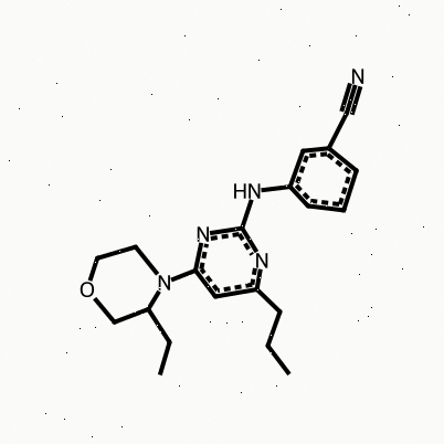 CCCc1cc(N2CCOCC2CC)nc(Nc2cccc(C#N)c2)n1